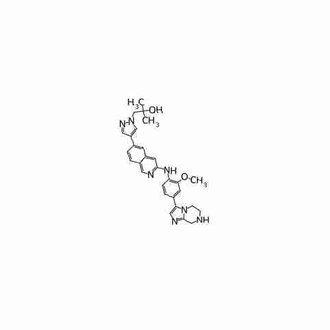 COc1cc(-c2cnc3n2CCNC3)ccc1Nc1cc2cc(-c3cnn(CC(C)(C)O)c3)ccc2cn1